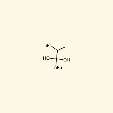 CCCCC(O)(O)C(C)CCC